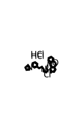 Cl.Cl.Clc1ccc2c(c1)N(C[C@H]1CCCN1CCc1cccc(N3CCCC3)c1)c1ccccc1OC2